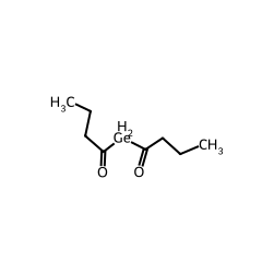 CCC[C](=O)[GeH2][C](=O)CCC